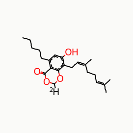 [2H]C1OC(=O)c2c(CCCCC)cc(O)c(CC=C(C)CCC=C(C)C)c2O1